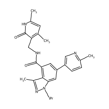 Cc1ccc(-c2cc(C(=O)NCc3c(C)cc(C)[nH]c3=O)c3c(C)nn(C(C)C)c3c2)cn1